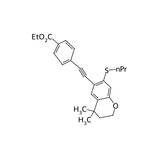 CCCSc1cc2c(cc1C#Cc1ccc(C(=O)OCC)cc1)C(C)(C)CCO2